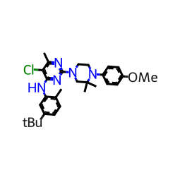 COc1ccc(N2CCN(c3nc(C)c(Cl)c(Nc4cc(C(C)(C)C)ccc4C)n3)CC2(C)C)cc1